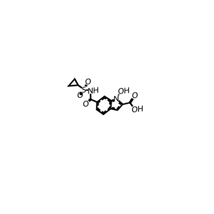 O=C(NS(=O)(=O)C1CC1)c1ccc2cc(C(=O)O)n(O)c2c1